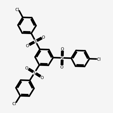 O=S(=O)(c1ccc(Cl)cc1)c1cc(S(=O)(=O)c2ccc(Cl)cc2)cc(S(=O)(=O)c2ccc(Cl)cc2)c1